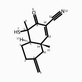 C=C1CC[C@H]2C(C)(S)C(=O)C(C#N)=C[C@]2(C)C1